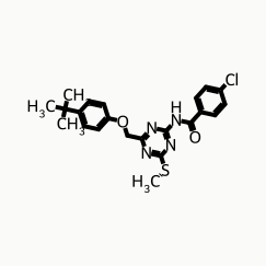 CSc1nc(COc2ccc(C(C)(C)C)cc2)nc(NC(=O)c2ccc(Cl)cc2)n1